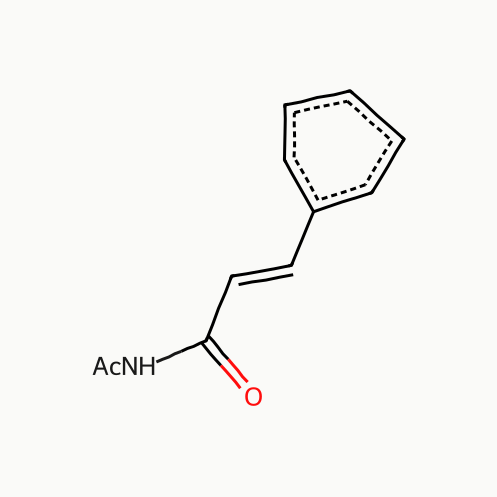 CC(=O)NC(=O)C=Cc1ccccc1